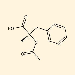 CC(=O)S[C@@](C)(Cc1ccccc1)C(=O)O